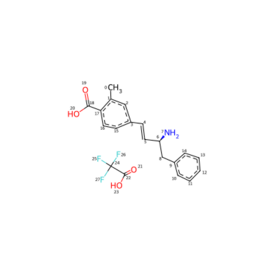 Cc1cc(/C=C/[C@@H](N)Cc2ccccc2)ccc1C(=O)O.O=C(O)C(F)(F)F